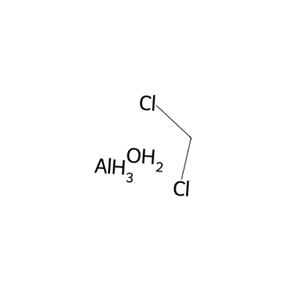 ClCCl.O.[AlH3]